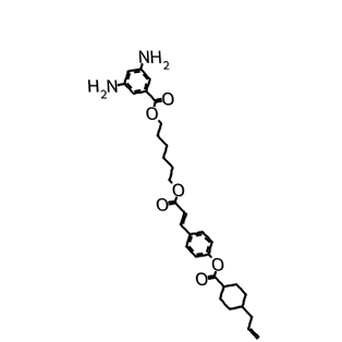 C=CCC1CCC(C(=O)Oc2ccc(C=CC(=O)OCCCCCCOC(=O)c3cc(N)cc(N)c3)cc2)CC1